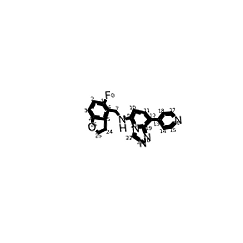 Fc1ccc2c(c1CNc1ccc(-c3ccncc3)c3nncn13)CCO2